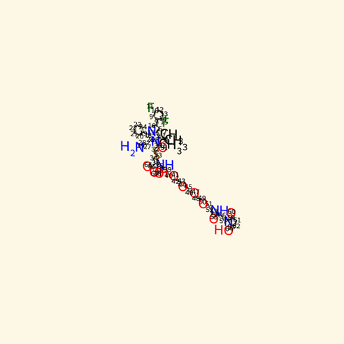 CC(C)(C)[C@H](c1cc(-c2cc(F)ccc2F)cn1Cc1ccccc1)N(CCCN)C(=O)CSC[C@@H](NC(=O)CCOCCOCCOCCOCCNC(=O)CCN1C(=O)C=CC1O)C(=O)O